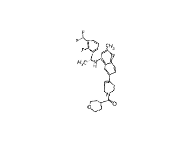 Cc1cc(N[C@H](C)c2cccc(C(F)F)c2F)c2cc(C3=CCN(C(=O)C4CCOCC4)CC3)ccc2n1